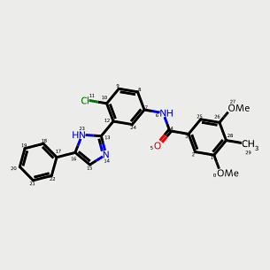 COc1cc(C(=O)Nc2ccc(Cl)c(-c3ncc(-c4ccccc4)[nH]3)c2)cc(OC)c1C